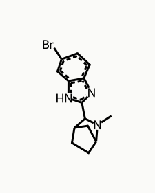 CN1C2CCC(C2)C1c1nc2ccc(Br)cc2[nH]1